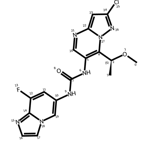 CO[C@@H](C)c1c(NC(=O)Nc2cc(F)c3nccn3c2)cnc2cc(Cl)nn12